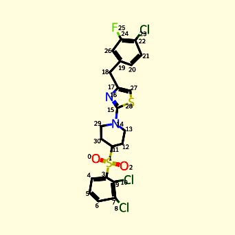 O=S(=O)(c1cccc(Cl)c1Cl)C1CCN(c2nc(Cc3ccc(Cl)c(F)c3)cs2)CC1